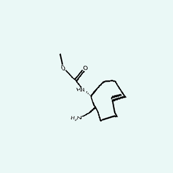 COC(=O)N[C@@H]1CC/C=C/CCC1N